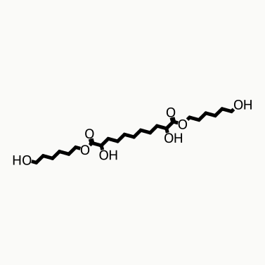 O=C(OCCCCCCO)C(O)CCCCCCCC(O)C(=O)OCCCCCCO